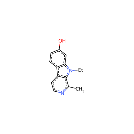 CCn1c2cc(O)ccc2c2ccnc(C)c21